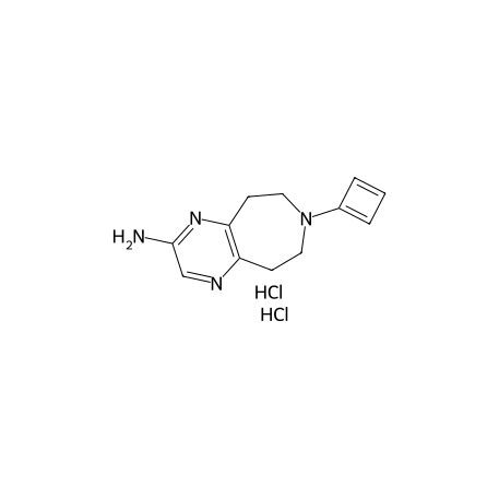 Cl.Cl.Nc1cnc2c(n1)CCN(C1=CC=C1)CC2